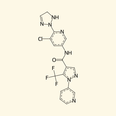 O=C(Nc1cnc(N2N=CCN2)c(Cl)c1)c1cnn(-c2cccnc2)c1C(F)(F)F